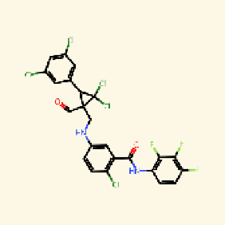 O=CC1(CNc2ccc(Cl)c(C(=O)Nc3ccc(F)c(F)c3F)c2)C(c2cc(Cl)cc(Cl)c2)C1(Cl)Cl